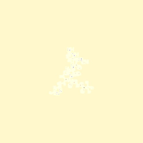 Cc1nnc(SCC2=C(C(=O)OCOC(=O)C(C)(C)C)N3C(=O)C(NC(=O)/C(=N\O)c4csc(=N)[nH]4)[C@H]3SC2)s1